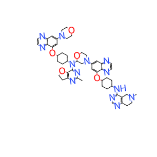 Cc1nc2c(c(N(C3CN(c4cc(O[C@H]5CC[C@@H](Nc6ncnc7c6CN(C)CC7)CC5)c5nccnc5c4)CCO3)[C@H]3CC[C@@H](Oc4cc(N5CCOCC5)cc5nccnc45)CC3)n1)OCC2